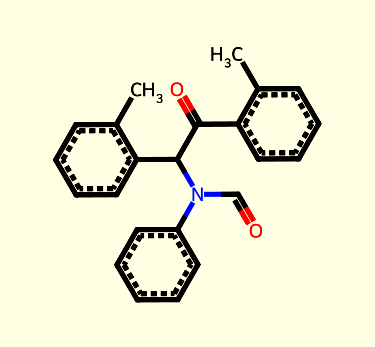 Cc1ccccc1C(=O)C(c1ccccc1C)N(C=O)c1ccccc1